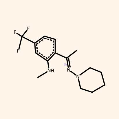 CNc1cc(C(F)(F)F)ccc1/C(C)=N/N1CCCCC1